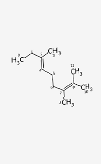 CCC(C)=CC[CH]C(C)=C(C)C